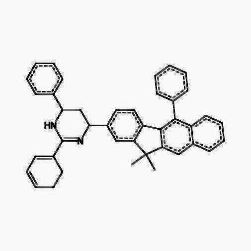 CC1(C)c2cc(C3CC(c4ccccc4)NC(C4=CC=CCC4)=N3)ccc2-c2c1cc1ccccc1c2-c1ccccc1